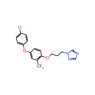 FC(F)(F)c1cc(Oc2ccc(Cl)cc2)ccc1OCCCn1cncn1